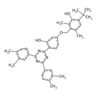 Cc1ccc(-c2nc(-c3ccc(C)c(C)c3)nc(-c3ccc(OCc4c(C)cc(C(C)(C)C)c(O)c4C)cc3O)n2)cc1C